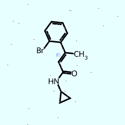 C/C(=C\C(=O)NC1CC1)c1ccccc1Br